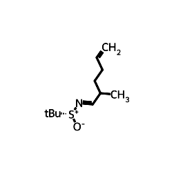 C=CCCC(C)/C=N/[S@+]([O-])C(C)(C)C